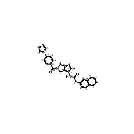 O=C(Cc1ccc2ccccc2c1)Nc1[nH]nc2c1CN(C(=O)c1ccc(-n3ccnc3)cc1)C2